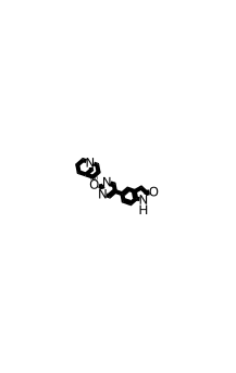 O=C1Cc2cc(-c3cnc(O[C@H]4CCN5CCCC4C5)nc3)ccc2N1